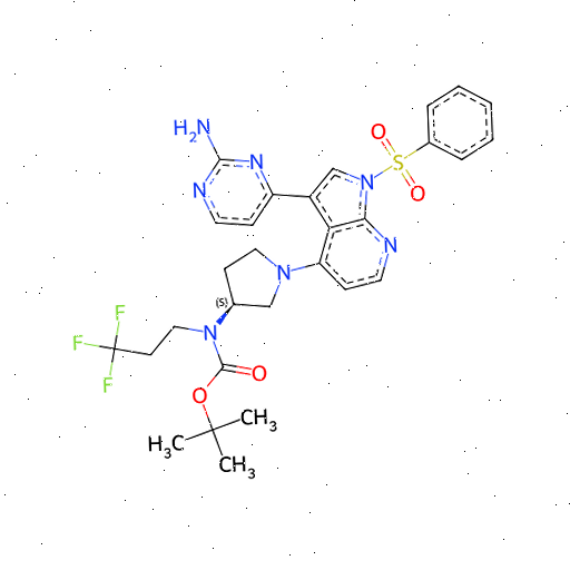 CC(C)(C)OC(=O)N(CCC(F)(F)F)[C@H]1CCN(c2ccnc3c2c(-c2ccnc(N)n2)cn3S(=O)(=O)c2ccccc2)C1